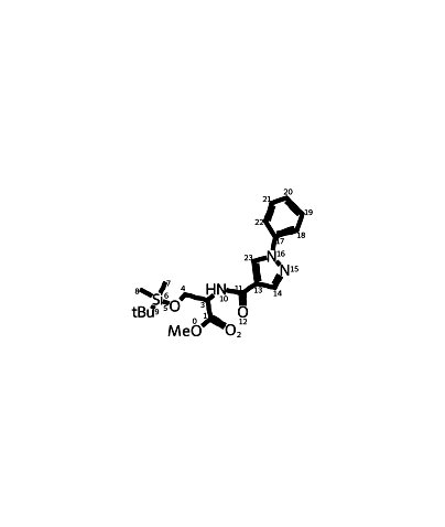 COC(=O)C(CO[Si](C)(C)C(C)(C)C)NC(=O)c1cnn(-c2ccccc2)c1